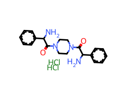 Cl.Cl.NC(C(=O)N1CCN(C(=O)C(N)c2ccccc2)CC1)c1ccccc1